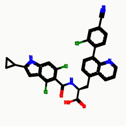 N#Cc1ccc(-c2ccc(C[C@H](NC(=O)c3c(Cl)cc4[nH]c(C5CC5)cc4c3Cl)C(=O)O)c3cccnc23)c(Cl)c1